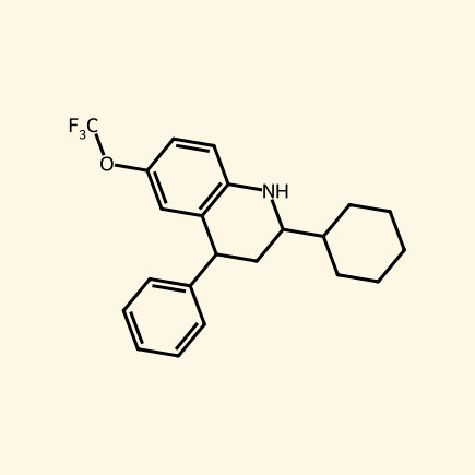 FC(F)(F)Oc1ccc2c(c1)C(c1ccccc1)CC(C1CCCCC1)N2